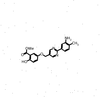 COC(=O)c1cc(OCc2cnc(-c3ccc(C)c(N)c3)nc2)ccc1O